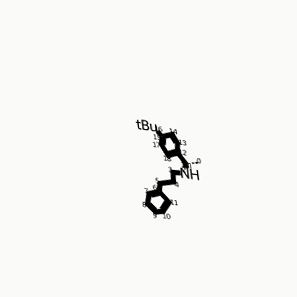 C[C@H](NCCCc1ccccc1)c1ccc(C(C)(C)C)cc1